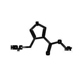 CCCOC(=O)c1cscc1CC(=O)O